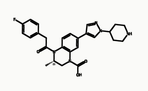 C[C@H]1CN(C(=O)O)c2cc(-c3cnn(C4CCNCC4)c3)ccc2N1C(=O)Cc1ccc(F)cc1